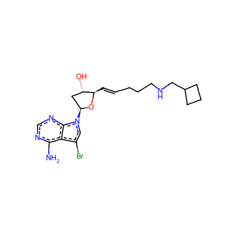 Nc1ncnc2c1c(Br)cn2[C@H]1C[C@H](O)[C@@H](/C=C/CCCNCC2CCC2)O1